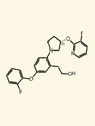 OCCc1cc(Oc2ccccc2F)ccc1N1CC[C@H](Oc2ncccc2F)C1